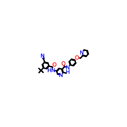 Cc1ncc(NC(=O)c2cc(C#N)cc(C(C)(C)C)c2)cc1C(=O)Nc1ccc(OCc2ccccn2)cc1